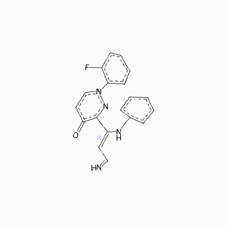 N=C/C=C(\Nc1ccccc1)c1nn(-c2ccccc2F)ccc1=O